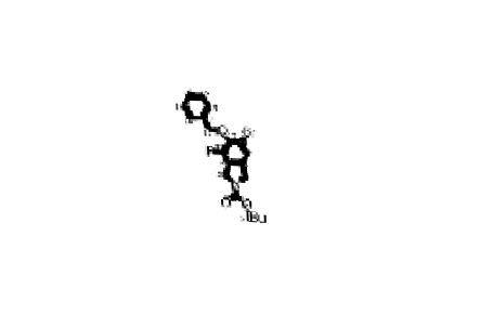 CC(C)(C)OC(=O)N1Cc2cc(Br)c(OCc3ccccc3)c(F)c2C1